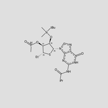 CC[C@H]1S[C@@H](n2cnc3c(=O)[nH]c(NC(=O)C(C)C)nc32)[C@H](O[Si](C)(C)C(C)(C)C)[C@@H]1O[PH](C)=O